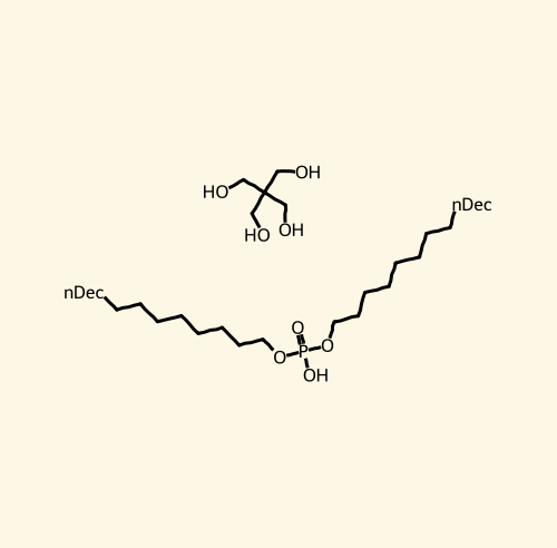 CCCCCCCCCCCCCCCCCCOP(=O)(O)OCCCCCCCCCCCCCCCCCC.OCC(CO)(CO)CO